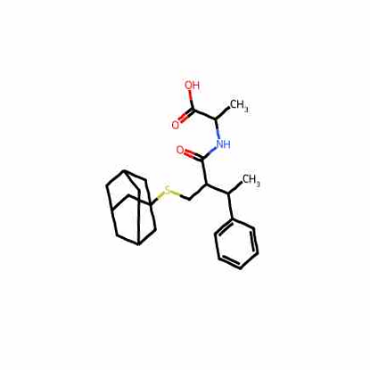 CC(NC(=O)C(CSC12CC3CC(CC(C3)C1)C2)C(C)c1ccccc1)C(=O)O